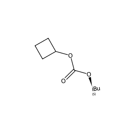 C[CH][C@H](C)OC(=O)OC1CCC1